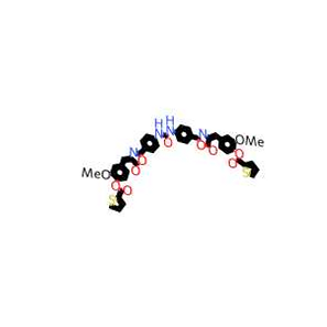 COc1cc(/C=C2/N=C(c3ccc(NC(=O)Nc4ccc(C5=N/C(=C/c6ccc(OC(=O)c7cccs7)c(OC)c6)C(=O)O5)cc4)cc3)OC2=O)ccc1OC(=O)C1=CCCS1